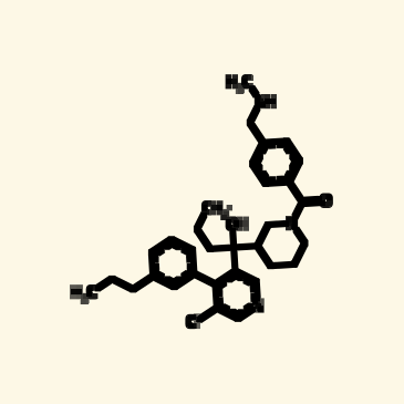 [CH2]CCC(O)(c1cncc(Cl)c1-c1cccc(CCC)c1)C1CCCN(C(=O)c2ccc(CNC)cc2)C1